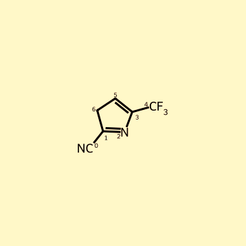 N#CC1=NC(C(F)(F)F)=CC1